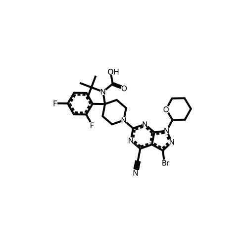 CC(C)(C)N(C(=O)O)C1(c2ccc(F)cc2F)CCN(c2nc(C#N)c3c(Br)nn(C4CCCCO4)c3n2)CC1